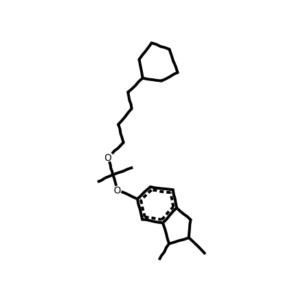 CC1Cc2ccc(OC(C)(C)OCCCCC3CCCCC3)cc2C1C